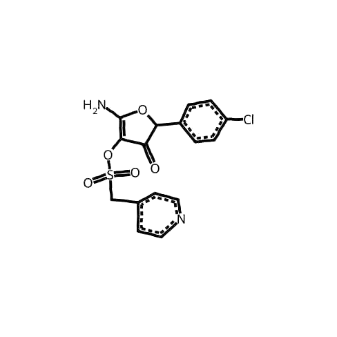 NC1=C(OS(=O)(=O)Cc2ccncc2)C(=O)C(c2ccc(Cl)cc2)O1